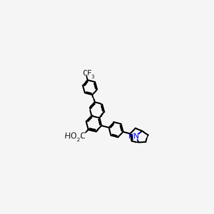 O=C(O)c1cc(-c2ccc(C3=CC4CCC(C3)N4)cc2)c2ccc(-c3ccc(C(F)(F)F)cc3)cc2c1